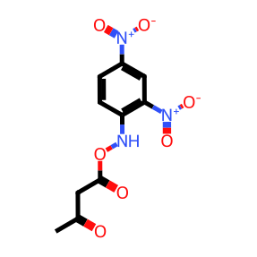 CC(=O)CC(=O)ONc1ccc([N+](=O)[O-])cc1[N+](=O)[O-]